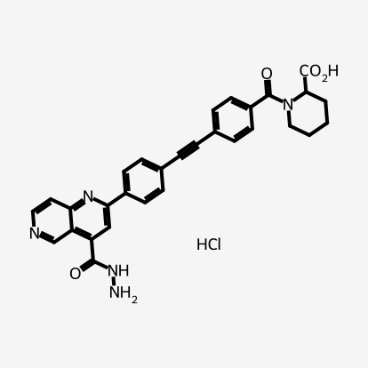 Cl.NNC(=O)c1cc(-c2ccc(C#Cc3ccc(C(=O)N4CCCCC4C(=O)O)cc3)cc2)nc2ccncc12